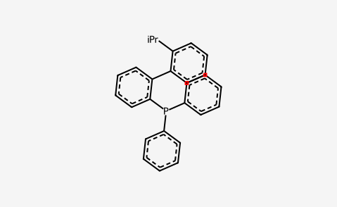 CC(C)c1ccccc1-c1ccccc1P(c1ccccc1)c1ccccc1